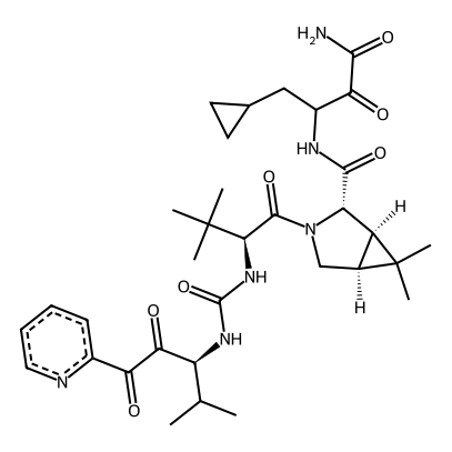 CC(C)[C@H](NC(=O)N[C@H](C(=O)N1C[C@H]2[C@@H]([C@H]1C(=O)NC(CC1CC1)C(=O)C(N)=O)C2(C)C)C(C)(C)C)C(=O)C(=O)c1ccccn1